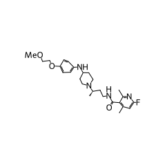 COCCOc1ccc(NC2CCN([C@H](C)CCNC(=O)c3c(C)cc(F)nc3C)CC2)cc1